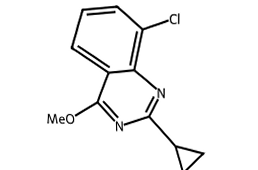 COc1nc(C2CC2)nc2c(Cl)cccc12